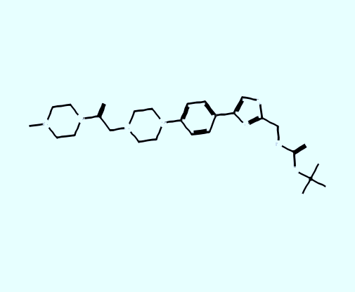 CN1CCN(C(=O)CN2CCN(c3ccc(-c4csc(CNC(=O)OC(C)(C)C)n4)cc3)CC2)CC1